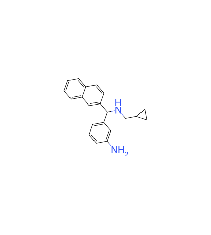 Nc1cccc(C(NCC2CC2)c2ccc3ccccc3c2)c1